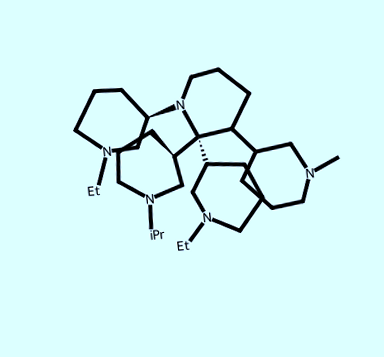 CCN1CCCC([C@@]2([C@@H]3CCCN(C(C)C)C3)[C](C3CCCN(C)C3)CCCN2[C@@H]2CCCN(CC)C2)C1